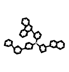 c1ccc(-c2cccc(-c3ccc(N(c4cccc(-c5ccc6ccccc6c5)c4)c4cccc(-c5cc6ccccc6c6ccccc56)c4)cc3)c2)cc1